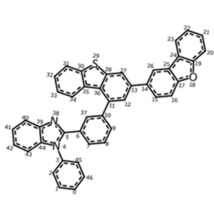 c1ccc(-n2c(-c3cccc(-c4cc(-c5ccc6oc7ccccc7c6c5)cc5sc6ccccc6c45)c3)nc3ccccc32)cc1